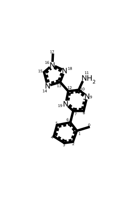 Cc1ccccc1-c1cnc(N)c(-c2ncn(C)n2)n1